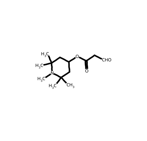 CN1C(C)(C)CC(OC(=O)CC=O)CC1(C)C